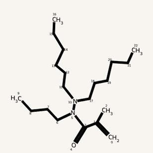 C=C(C)C(=O)N(CCCC)N(CCCCCC)CCCCCC